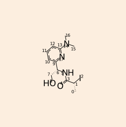 C[C@@H](I)C(=O)N[C@H](CO)c1cccc(N(C)C)n1